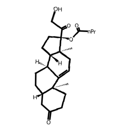 CCCC(=O)O[C@]1(C(=O)CO)CC[C@H]2[C@@H]3CC[C@H]4CC(=O)CC[C@]4(C)C3=CC[C@@]21C